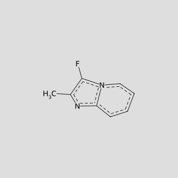 Cc1nc2ccccn2c1F